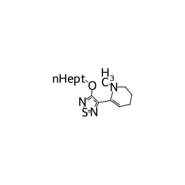 CCCCCCCOc1nsnc1C1=CCCCN1C